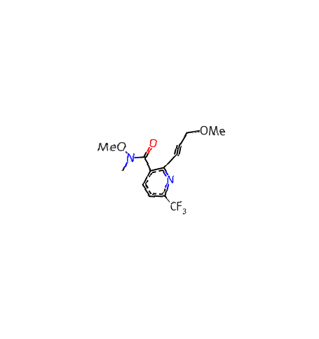 COCC#Cc1nc(C(F)(F)F)ccc1C(=O)N(C)OC